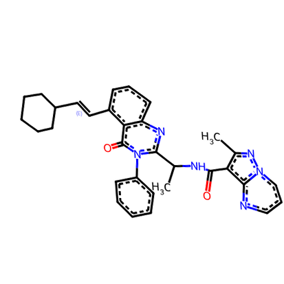 Cc1nn2cccnc2c1C(=O)NC(C)c1nc2cccc(/C=C/C3CCCCC3)c2c(=O)n1-c1ccccc1